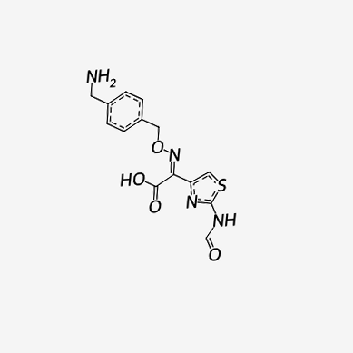 NCc1ccc(CO/N=C(\C(=O)O)c2csc(NC=O)n2)cc1